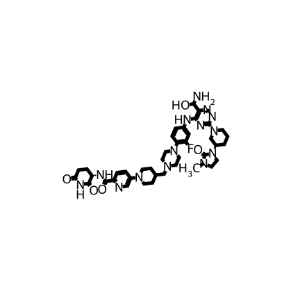 CN1CCN([C@@H]2CCCN(c3nnc(C(N)O)c(Nc4ccc(N5CCN(CC6CCN(c7ccc(C(=O)N[C@H]8CCC(=O)NC8=O)nc7)CC6)CC5)c(F)c4)n3)C2)C1=O